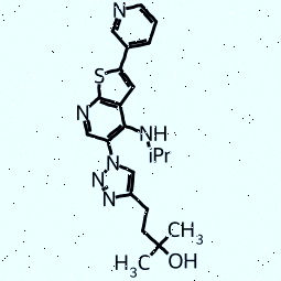 CC(C)Nc1c(-n2cc(CCC(C)(C)O)nn2)cnc2sc(-c3cccnc3)cc12